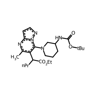 CCCC(C(=O)OCC)c1c(C)nc2ccnn2c1N1CCCC(NC(=O)OC(C)(C)C)C1